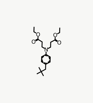 CCOC(=O)CCN(CCC(=O)OCC)c1ccc(CC(C)(C)C)cc1